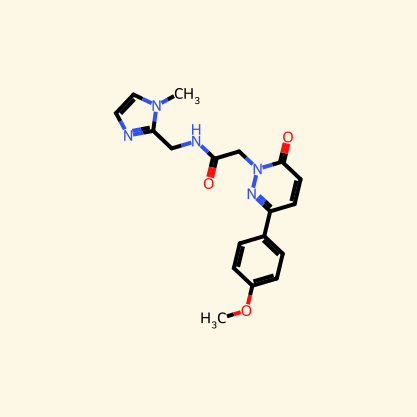 COc1ccc(-c2ccc(=O)n(CC(=O)NCc3nccn3C)n2)cc1